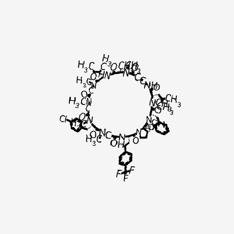 CCC(C)[C@@H]1NC(=O)[C@H](C)N(C)C(=O)CCNC(=O)[C@H](CC(C)C)N(C)C(=O)[C@H](Cc2ccccc2)N(C)C(=O)[C@@H]2CCCN2C(=O)[C@H](CCc2ccc(C(F)(F)F)cc2)NC(=O)CN(C)C(=O)[C@H](Cc2ccc(Cl)cc2)N(C)C(=O)CN(C)C(=O)CN(C)C1=O